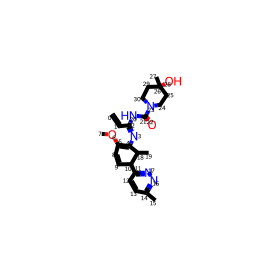 C=C/C(=N\C1=C(OC)C=CC(c2ccc(C)nn2)C1C)NC(=O)N1CCC(C)(O)CC1